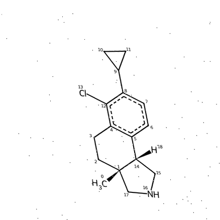 C[C@@]12CCc3c(ccc(C4CC4)c3Cl)[C@@H]1CNC2